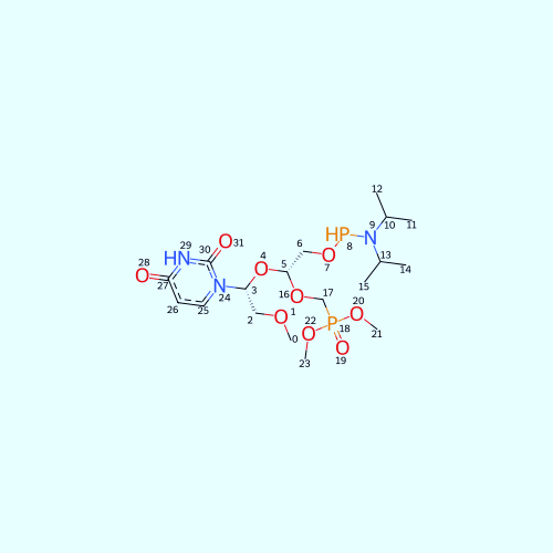 COC[C@@H](O[C@H](COPN(C(C)C)C(C)C)OCP(=O)(OC)OC)n1ccc(=O)[nH]c1=O